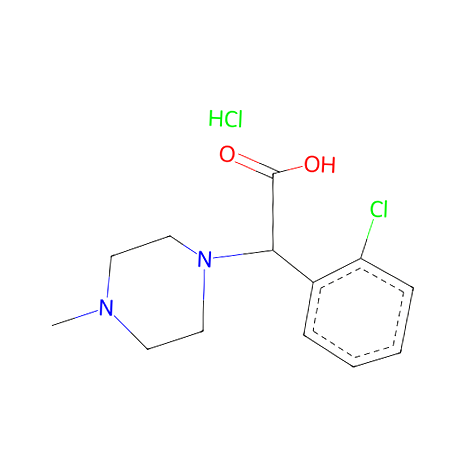 CN1CCN(C(C(=O)O)c2ccccc2Cl)CC1.Cl